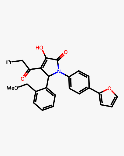 COCc1ccccc1C1C(C(=O)CC(C)C)=C(O)C(=O)N1c1ccc(-c2ccco2)cc1